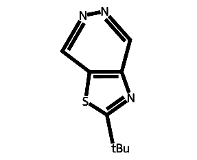 CC(C)(C)c1nc2cnncc2s1